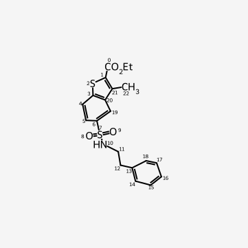 CCOC(=O)c1sc2ccc(S(=O)(=O)NCCc3ccccc3)cc2c1C